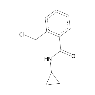 O=C(NC1CC1)c1ccccc1CCl